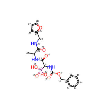 C[C@H](NC(=O)C(NC(=O)OCc1ccccc1)P(=O)(O)O)C(=O)NCc1ccco1